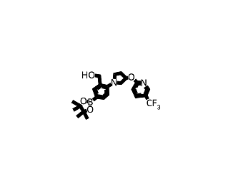 CC1(C)OB(c2ccc(N3CCC(Oc4ccc(C(F)(F)F)cn4)C3)c(CO)c2)OC1(C)C